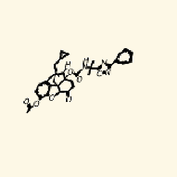 CC(=O)Oc1ccc2c3c1OC1C(=O)CC[C@@]4(OC(=O)NC(C)(C)c5nc(-c6ccccc6)no5)[C@@H](C2)N(CC2CC2)CC[C@]314